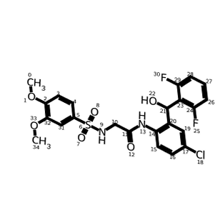 COc1ccc(S(=O)(=O)NCC(=O)Nc2ccc(Cl)cc2C(O)c2c(F)cccc2F)cc1OC